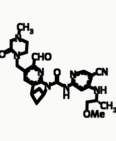 COC[C@@H](C)Nc1cc(NC(=O)N2c3nc(C=O)c(CN4CCN(C)CC4=O)cc3C3CC2C3)ncc1C#N